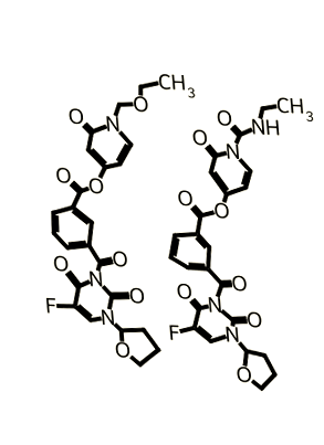 CCNC(=O)n1ccc(OC(=O)c2cccc(C(=O)n3c(=O)c(F)cn(C4CCCO4)c3=O)c2)cc1=O.CCOCn1ccc(OC(=O)c2cccc(C(=O)n3c(=O)c(F)cn(C4CCCO4)c3=O)c2)cc1=O